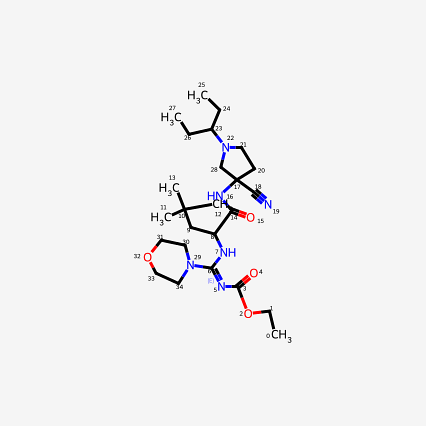 CCOC(=O)/N=C(\NC(CC(C)(C)C)C(=O)NC1(C#N)CCN(C(CC)CC)C1)N1CCOCC1